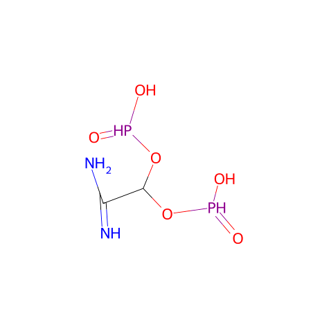 N=C(N)C(O[PH](=O)O)O[PH](=O)O